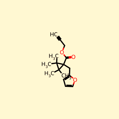 C#CCOC(=O)C1(Cc2ccco2)C(C)(C)C1(C)C